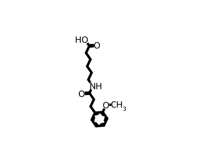 COc1ccccc1CCC(=O)NCCCCCC(=O)O